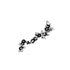 CCc1cc(Nc2ncc(Br)c(Nc3ccc4nc(C)c(F)cc4c3P(C)(C)=O)n2)c(OC)cc1N1CCC2(CCN(CC3CN(c4cccc5c4CN(C4CCC(=O)NC4=O)C5=O)C3)CC2)CC1